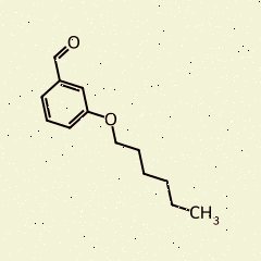 CCCCCCOc1cccc(C=O)c1